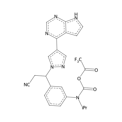 CC(C)N(C(=O)OC(=O)C(F)(F)F)c1cccc(C(CC#N)n2cc(-c3ncnc4[nH]ccc34)cn2)c1